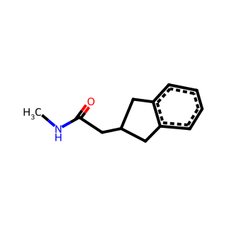 CNC(=O)CC1Cc2ccccc2C1